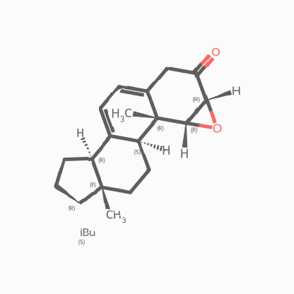 CC[C@H](C)[C@H]1CC[C@H]2C3=CC=C4CC(=O)[C@@H]5O[C@@H]5[C@]4(C)[C@H]3CC[C@]12C